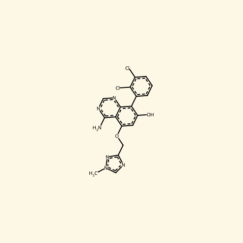 Cn1cnc(COc2cc(O)c(-c3cccc(Cl)c3Cl)c3ncnc(N)c23)n1